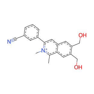 Cc1c2cc(CO)c(CO)cc2cc(-c2cccc(C#N)c2)[n+]1C